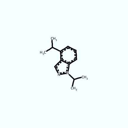 CC(C)c1cccc2c1cnn2C(C)C